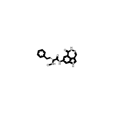 O=C1NN=Cc2c[nH]c3cc(NC(=O)[C@@H](CCc4ccccc4)NCl)cc1c23